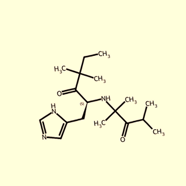 CCC(C)(C)C(=O)[C@H](Cc1cnc[nH]1)NC(C)(C)C(=O)C(C)C